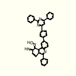 N=C1C=Cc2c(-c3ccccc3)nc3ccc(-c4ccc(-c5cc(-c6ccccc6)nc(-c6ccccc6)n5)cc4)cc3c2/C1=N/O